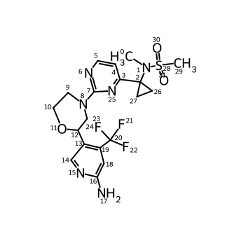 CN(C1(c2ccnc(N3CCOC(c4cnc(N)cc4C(F)(F)F)C3)n2)CC1)S(C)(=O)=O